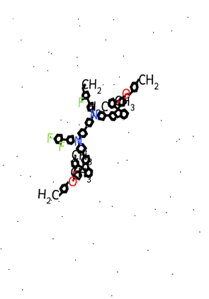 C=Cc1ccc(COc2ccc(C3(c4cc(C)ccc4C)c4ccccc4-c4ccc(-c5ccc(N(c6ccc(-c7ccc(N(c8ccc(-c9ccc%10c(c9)C(c9ccc(OCc%11ccc(C=C)cc%11)cc9)(c9cc(C)ccc9C)c9ccccc9-%10)cc8)c8ccc(-c9ccc(C=C)cc9F)cc8)cc7)cc6)c6ccc(-c7ccc(F)cc7F)cc6)cc5)cc43)cc2)cc1